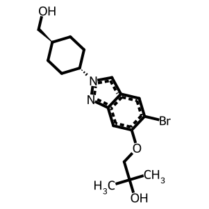 CC(C)(O)COc1cc2nn([C@H]3CC[C@H](CO)CC3)cc2cc1Br